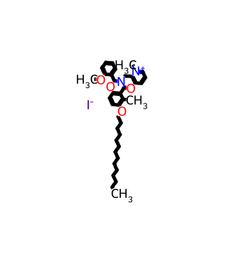 CCCCCCCCCCCCCCOc1cccc(C(=O)N(Cc2cccc[n+]2C)C(=O)c2ccccc2OC)c1C.[I-]